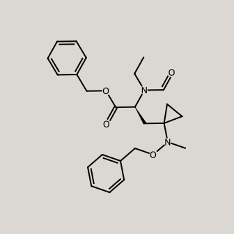 CCN(C=O)[C@@H](CC1(N(C)OCc2ccccc2)CC1)C(=O)OCc1ccccc1